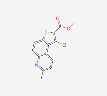 COC(=O)c1sc2ccc3nc(C)ccc3c2c1Cl